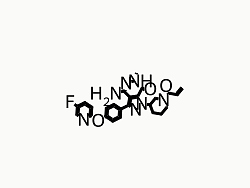 C=CC(=O)N1CCCC(n2nc(-c3ccc(Oc4ccc(F)cn4)cc3)c(/C(N)=N\NC)c2C=O)C1